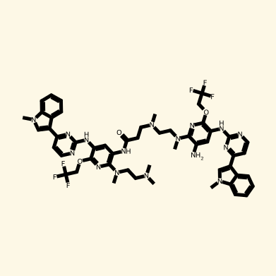 CN(C)CCN(C)c1nc(OCC(F)(F)F)c(Nc2nccc(-c3cn(C)c4ccccc34)n2)cc1NC(=O)CCN(C)CCN(C)c1nc(OCC(F)(F)F)c(Nc2nccc(-c3cn(C)c4ccccc34)n2)cc1N